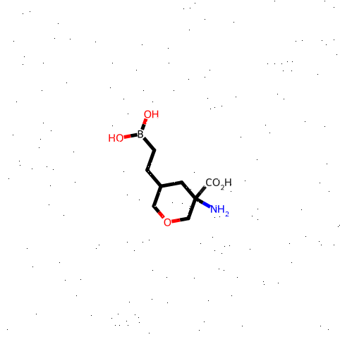 NC1(C(=O)O)COCC(CCB(O)O)C1